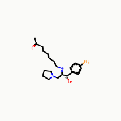 CC(=O)CCCCCCNC(CN1CCCC1)[C@H](O)c1ccc(P)cc1